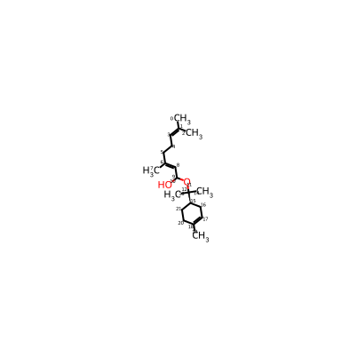 CC(C)=CCC/C(C)=C/C(O)OC(C)(C)[C@H]1CC=C(C)CC1